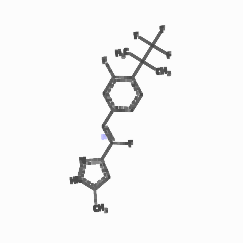 Cc1cc(/C(F)=C/c2ccc(C(C)(C)C(F)(F)F)c(F)c2)n[nH]1